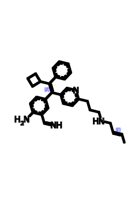 C/C=C/CNCCCc1ccc(/C(=C(\c2ccccc2)C2CCC2)c2ccc(N)c(C=N)c2)cn1